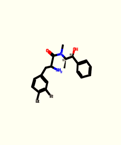 CCc1ccc(CC(N)C(=O)N(C)[C@@H](C)[C@@H](O)c2ccccc2)cc1CC